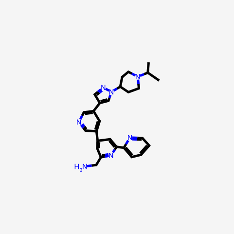 CC(C)N1CCC(n2cc(-c3cncc(-c4cc(CN)nc(-c5ccccn5)c4)c3)cn2)CC1